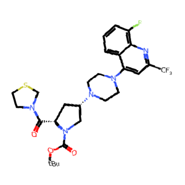 CC(C)(C)OC(=O)N1C[C@@H](N2CCN(c3cc(C(F)(F)F)nc4c(F)cccc34)CC2)C[C@H]1C(=O)N1CCSC1